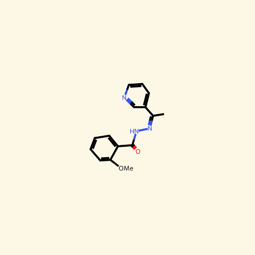 COc1ccccc1C(=O)NN=C(C)c1cccnc1